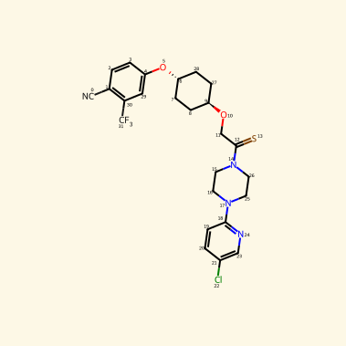 N#Cc1ccc(O[C@H]2CC[C@H](OCC(=S)N3CCN(c4ccc(Cl)cn4)CC3)CC2)cc1C(F)(F)F